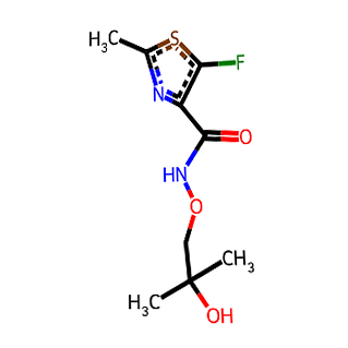 Cc1nc(C(=O)NOCC(C)(C)O)c(F)s1